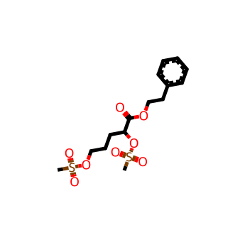 CS(=O)(=O)OCCCC(OS(C)(=O)=O)C(=O)OCCc1ccccc1